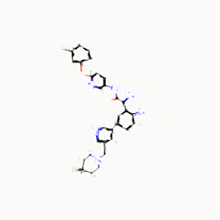 N=C(C(=O)Nc1ccc(Oc2cccc(F)c2)nc1)c1cc(-c2cncc(CN3CCC(F)(F)CC3)c2)ccc1N